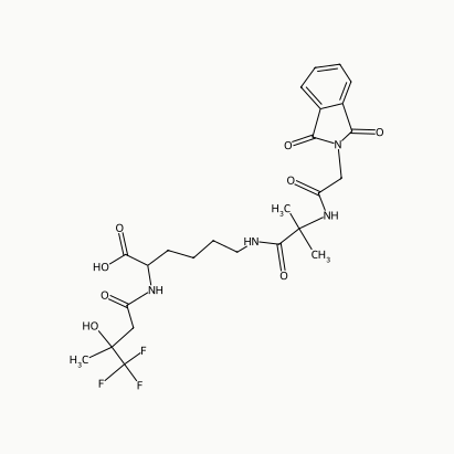 CC(C)(NC(=O)CN1C(=O)c2ccccc2C1=O)C(=O)NCCCCC(NC(=O)CC(C)(O)C(F)(F)F)C(=O)O